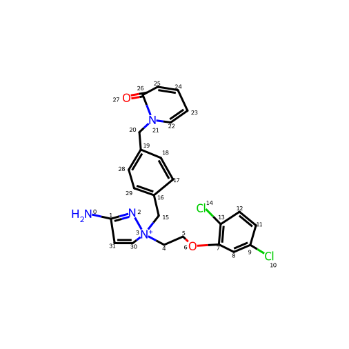 NC1=N[N+](CCOc2cc(Cl)ccc2Cl)(Cc2ccc(Cn3ccccc3=O)cc2)C=C1